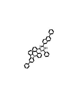 c1ccc(-c2ccc3cc(C4=NC(c5ccccc5-c5ccccc5-n5c6ccccc6c6cc(-c7ccccc7)ccc65)=NC(c5ccccc5)N4)ccc3c2)cc1